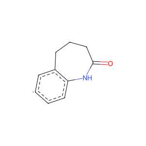 O=C1CCCc2c[c]ccc2N1